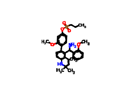 CCCS(=O)(=O)Oc1ccc(-c2ccc3c(c2C(N)c2ccccc2OC)C(C)=CC(C)(C)N3)c(OC)c1